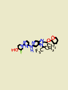 C[C@H](n1c([C@@H](C)OC2CCCCO2)nc2cnc(Nc3ccnc(N4CCC(O)C(F)C4)n3)cc21)C(F)(F)F